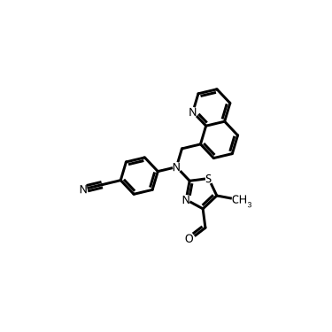 Cc1sc(N(Cc2cccc3cccnc23)c2ccc(C#N)cc2)nc1C=O